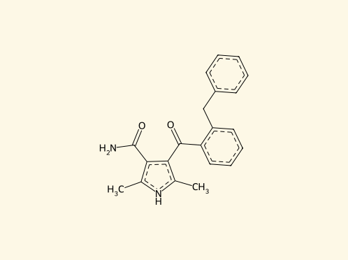 Cc1[nH]c(C)c(C(=O)c2ccccc2Cc2ccccc2)c1C(N)=O